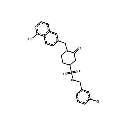 Nc1ncnc2cc(CN3CCN(S(=O)(=O)NCc4cccc(Cl)c4)CC3=O)ccc12